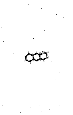 [c]1c2ccccc2cc2cncnc12